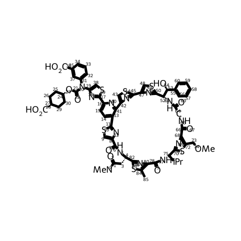 CNC(=O)C[C@@H]1NC(=O)c2csc(n2)-c2ccc(-c3nc(N(C(=O)O[C@H]4CC[C@H](C(=O)O)CC4)c4cccc(C(=O)O)c4)cs3)nc2-c2csc(n2)-c2csc(n2)[C@H]([C@@H](O)c2ccccc2)NC(=O)CNC(=O)c2nc(sc2COC)C(C(C)C)NC(=O)c2nc1sc2C